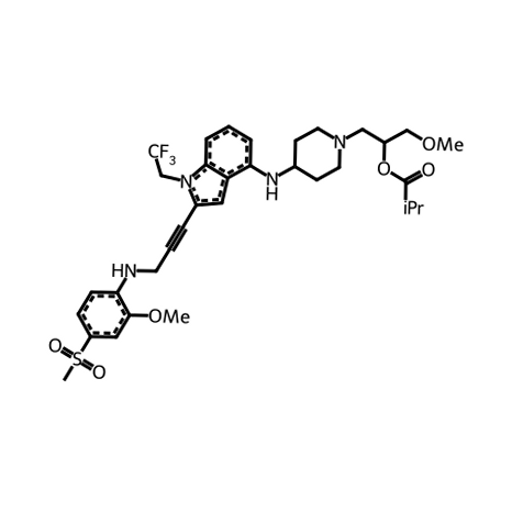 COCC(CN1CCC(Nc2cccc3c2cc(C#CCNc2ccc(S(C)(=O)=O)cc2OC)n3CC(F)(F)F)CC1)OC(=O)C(C)C